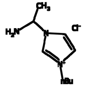 CCCC[n+]1ccn(C(C)N)c1.[Cl-]